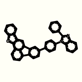 c1ccc(-c2nc3ccccc3n2-c2ccc(-c3ccc4c(c3)-c3cc5c6ccccc6oc5c5cccc-4c35)cc2)cc1